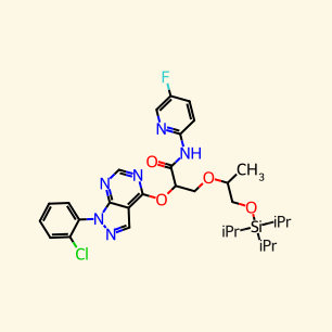 CC(CO[Si](C(C)C)(C(C)C)C(C)C)OCC(Oc1ncnc2c1cnn2-c1ccccc1Cl)C(=O)Nc1ccc(F)cn1